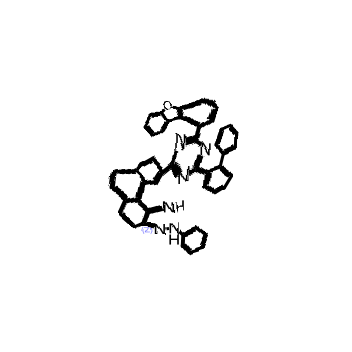 N=C1/C(=N\Nc2ccccc2)C=Cc2ccc3ccc(-c4nc(-c5ccccc5-c5ccccc5)nc(-c5cccc6oc7ccccc7c56)n4)cc3c21